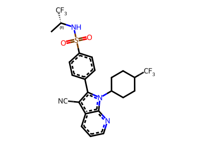 C[C@@H](NS(=O)(=O)c1ccc(-c2c(C#N)c3cccnc3n2C2CCC(C(F)(F)F)CC2)cc1)C(F)(F)F